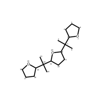 CC(C)(C1CCCO1)C1CCC(C(C)(C)C2CCCO2)O1